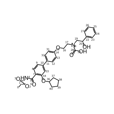 CS(=O)(=O)NC(=O)c1ccc(-c2ccc(OCCN(C[C@H](O)c3ccccc3)C(=O)O)cc2)cc1OC1CCCC1